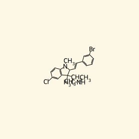 CN1c2ccc(Cl)cc2C(C)(C)C1C=Cc1cccc(Br)c1.CNC